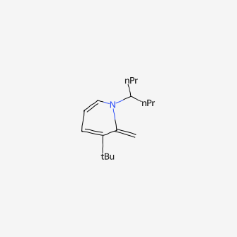 C=C1C(C(C)(C)C)=CC=CN1C(CCC)CCC